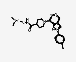 Cc1ccc(-n2cc3cnnc(N4CCC(C(=O)NCCN(C)C)CC4)c3n2)cc1